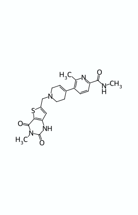 CNC(=O)c1ccc(C2=CCN(Cc3cc4[nH]c(=O)n(C)c(=O)c4s3)CC2)c(C)n1